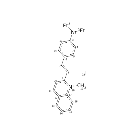 CCN(CC)c1ccc(/C=C/c2ccc3ccccc3[n+]2C)cc1.[I-]